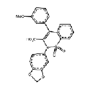 COc1cccc(C2=C(C(=O)O)N(c3ccc4c(c3)OCO4)S(=O)(=O)c3ccccc32)c1